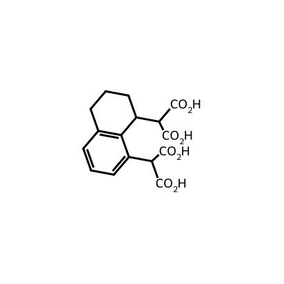 O=C(O)C(C(=O)O)c1cccc2c1C(C(C(=O)O)C(=O)O)CCC2